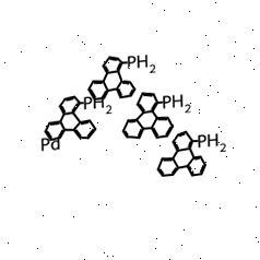 Pc1cccc2c3ccccc3c3ccccc3c12.Pc1cccc2c3ccccc3c3ccccc3c12.Pc1cccc2c3ccccc3c3ccccc3c12.Pc1cccc2c3ccccc3c3ccccc3c12.[Pd]